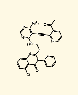 CC(=O)c1cccnc1C#Cc1c(N)ncnc1NCCc1nc2cccc(Cl)c2c(=O)n1-c1ccccc1